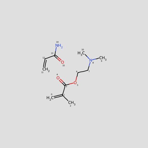 C=C(C)C(=O)OCCN(C)C.C=CC(N)=O